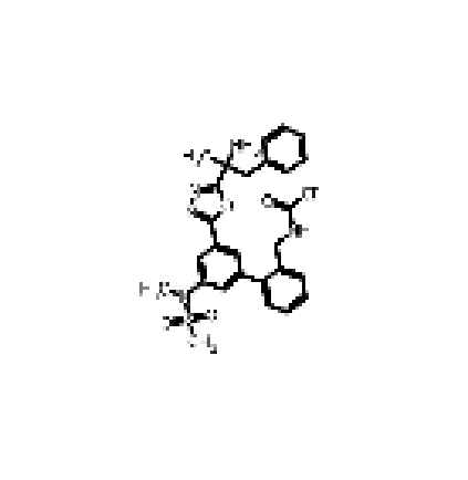 CN(c1cc(-c2nnc(C(C)(N)Cc3ccccc3)o2)cc(-c2ccccc2CNC(=O)C(F)(F)F)c1)S(C)(=O)=O